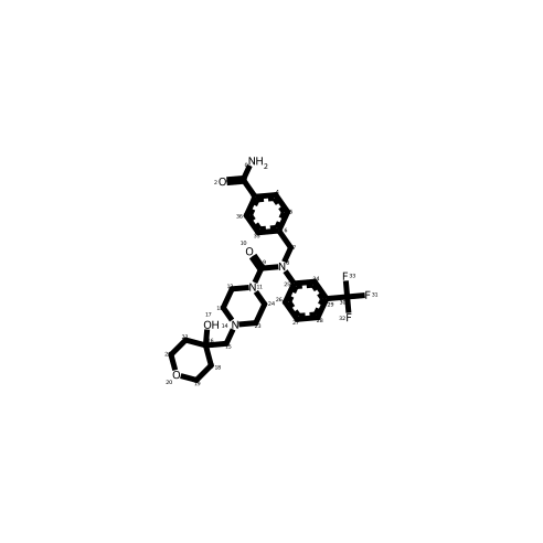 NC(=O)c1ccc(CN(C(=O)N2CCN(CC3(O)CCOCC3)CC2)c2cccc(C(F)(F)F)c2)cc1